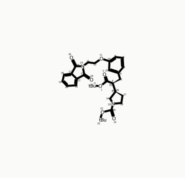 CC(C)(C)OC(=O)[C@@H](Cc1cccc(OCCN2C(=O)c3ccccc3C2=O)c1)[C@H]1CCN(C(=O)OC(C)(C)C)C1